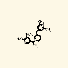 CC(=O)Nc1cc(C(C)N2CCC[C@H](Cc3cc(C)nc(C)c3)C2)cnc1C